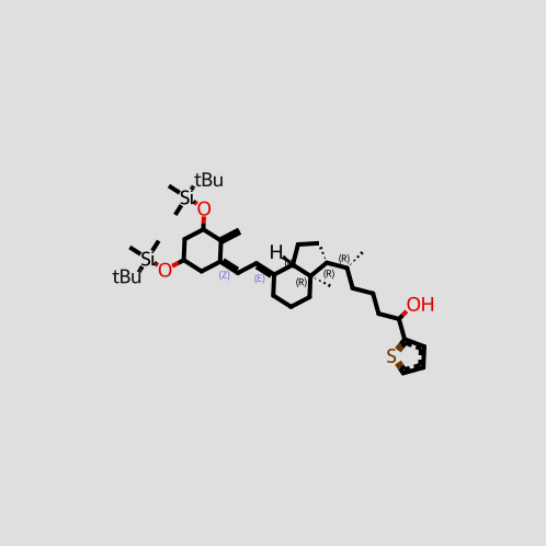 C=C1/C(=C\C=C2/CCC[C@]3(C)[C@@H]([C@H](C)CCCC(O)c4cccs4)CC[C@@H]23)CC(O[Si](C)(C)C(C)(C)C)CC1O[Si](C)(C)C(C)(C)C